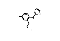 CCCc1cc(F)ccc1C(O)c1ncc[nH]1